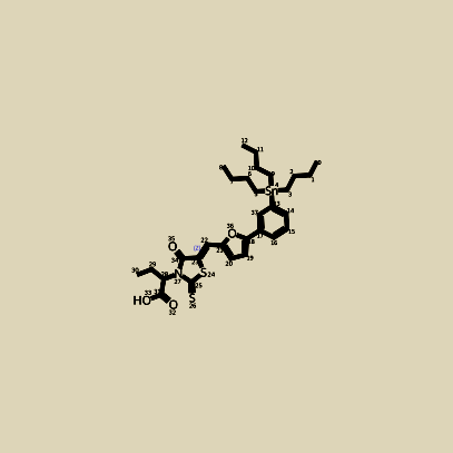 CCC[CH2][Sn]([CH2]CCC)([CH2]CCC)[c]1cccc(-c2ccc(/C=C3\SC(=S)N(C(CC)C(=O)O)C3=O)o2)c1